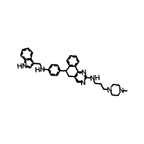 CN1CCN(CCCNc2ncc3c(n2)-c2ccccc2C(c2ccc(NCc4c[nH]c5ccccc45)cc2)C3)CC1